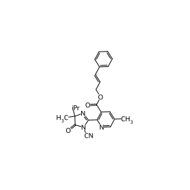 Cc1cnc(C2=NC(C)(C(C)C)C(=O)N2C#N)c(C(=O)OC/C=C/c2ccccc2)c1